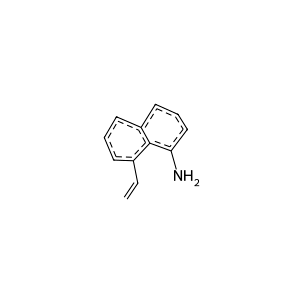 C=Cc1cccc2cccc(N)c12